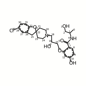 CC(CO)NC(=O)c1ccc(O)cc1OC[C@H](O)CN1CCC2(CC1)Cc1cc(Cl)ccc1O2